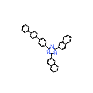 c1ccc(-c2ccc(-c3ccc(-c4nc(-c5ccc6ccccc6c5)nc(-c5ccc6ccccc6c5)n4)cc3)cc2)cc1